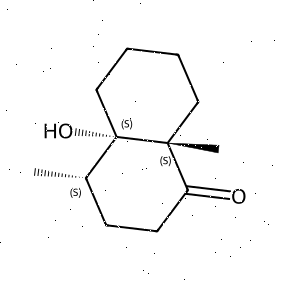 C[C@H]1CCC(=O)[C@@]2(C)CCCC[C@]12O